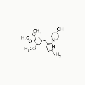 COc1cc(Cc2cnc(N)nc2N2CCC(O)CC2)cc(OC)c1OC